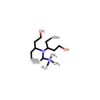 CCCCCCCCCCCC(CCO)N(C(CCO)CCCCCCCCCCC)C(C(=O)[O-])[N+](C)(C)C